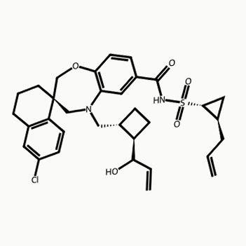 C=CC[C@@H]1C[C@H]1S(=O)(=O)NC(=O)c1ccc2c(c1)N(C[C@@H]1CC[C@H]1C(O)C=C)C[C@@]1(CCCc3cc(Cl)ccc31)CO2